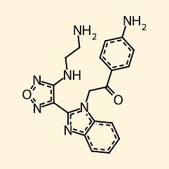 NCCNc1nonc1-c1nc2ccccc2n1CC(=O)c1ccc(N)cc1